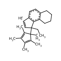 CCC1(C2(C)C(C)=C(C)C(C)=C2C)C=Cc2ccc3c(c21)CCCC3.[Hf]